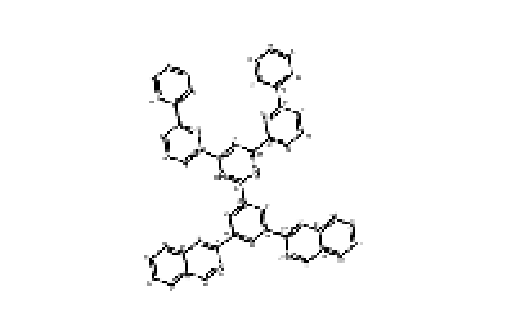 c1ccc(-c2cccc(-c3nc(-c4cc(-c5cc6ccccc6cn5)cc(-c5cc6ccccc6cn5)c4)nc(-c4cccc(-c5ccccc5)n4)n3)n2)cc1